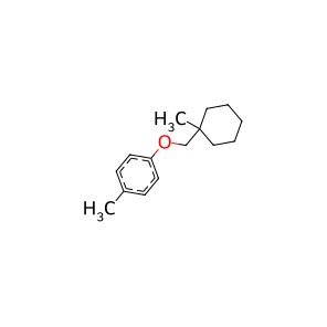 Cc1ccc(OCC2(C)CCCCC2)cc1